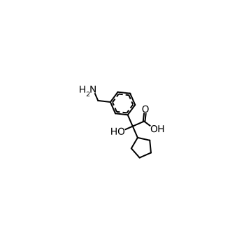 NCc1cccc(C(O)(C(=O)O)C2CCCC2)c1